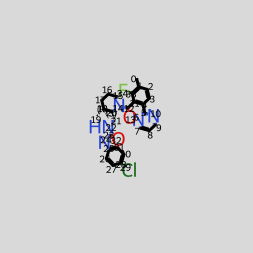 Cc1ccc(-c2ncccn2)c(C(=O)N2CCC[C@@H](C)[C@H]2CNc2nc3ccc(Cl)cc3o2)c1F